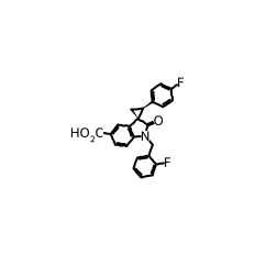 O=C(O)c1ccc2c(c1)[C@@]1(C[C@H]1c1ccc(F)cc1)C(=O)N2Cc1ccccc1F